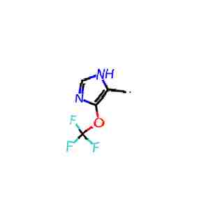 [CH2]c1[nH]cnc1OC(F)(F)F